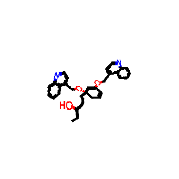 CCC(O)CCC1(OCc2ccnc3ccccc23)C=C(OCc2ccnc3ccccc23)C=CC1